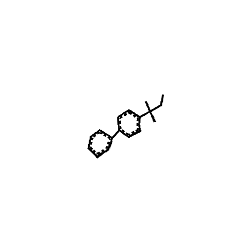 CCC(C)(C)c1ccc(-c2ccccc2)cc1